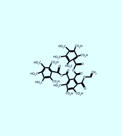 C=COC(=O)c1c(C(=O)O)c(C(=O)O)c(C(=O)O)c(C(=O)OC(=O)c2c(C(=O)O)c(C(=O)O)c(C(=O)O)c(C(=O)O)c2C(=O)O)c1C(=O)OC(=O)c1c(C(=O)O)c(C(=O)O)c(C(=O)O)c(C(=O)O)c1C(=O)O